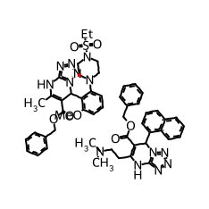 CCS(=O)(=O)N1CCN(c2cccc(OC)c2C2C(C(=O)OCc3ccccc3)=C(C)Nc3nnnn32)CC1.CN(C)CCC1=C(C(=O)OCc2ccccc2)C(c2cccc3ccccc23)n2nnnc2N1